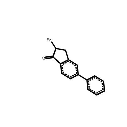 O=C1c2ccc(-c3ccccc3)cc2CC1Br